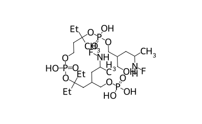 CCC(C)(CCOP(=O)(O)OC(CC)(CC)CC(COP(=O)(O)O)CC(C)NF)OP(=O)(O)OCC(CO)CC(C)NF